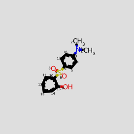 CN(C)c1ccc(S(=O)(=O)c2ccccc2O)cc1